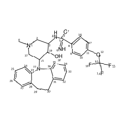 CN1CC(NS(=N)(=O)c2ccc(OC(F)(F)F)cc2)C(O)C(N2c3ccccc3CCc3ccccc32)C1